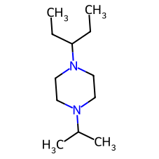 CCC(CC)N1CCN(C(C)C)CC1